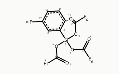 CCC(=O)O[Si](OC(=O)CC)(OC(=O)CC)c1cccc(F)c1